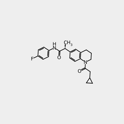 C[C@H](C(=O)Nc1ccc(F)cc1)c1ccc2c(c1)CCCN2C(=O)CC1CC1